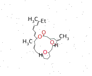 C/C=C1\CC2CC(=O)OC(/C=C/C=C\C=C(/C)CC)[C@@H](C)/C=C/CC[C@H]3CCCC(C[C@@H](C1)O2)O3